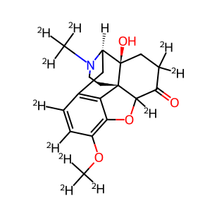 [2H]c1c([2H])c(OC([2H])([2H])[2H])c2c3c1C[C@H]1N(C([2H])([2H])[2H])CC[C@@]34C([2H])(O2)C(=O)C([2H])([2H])C[C@@]14O